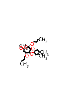 CCCCOC[C@H]1OC(OC)C[C@H](OCCCC)[C@@H](OCCCC)[C@H]1OCCCC